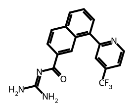 NC(N)=NC(=O)c1ccc2cccc(-c3cc(C(F)(F)F)ccn3)c2c1